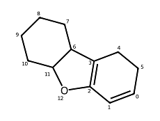 C1=CC2=C(CC1)C1CCCCC1O2